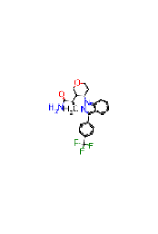 C=C(C(N)=O)C1COCCC1n1nc(-c2ccc(C(F)(F)F)cc2)c2ccccc21